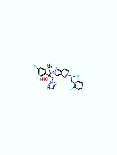 C[C@@H](n1cc2cc(NCc3c(F)cccc3F)ccc2n1)[C@](O)(Cn1cncn1)c1ccc(F)cc1F